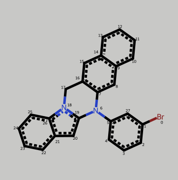 Brc1cccc(N2c3cc4ccccc4cc3Cn3c2cc2ccccc23)c1